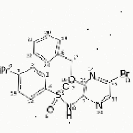 CC(C)c1ccc(S(=O)(=O)Nc2ncc(Br)nc2OCc2ccccc2)cc1